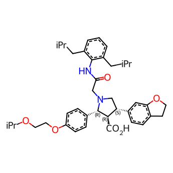 CC(C)Cc1cccc(CC(C)C)c1NC(=O)CN1C[C@H](c2ccc3c(c2)OCC3)[C@@H](C(=O)O)[C@@H]1c1ccc(OCCOC(C)C)cc1